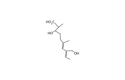 C/C=C(/C=C(\C)CCC(O)C(C)C(=O)O)CO